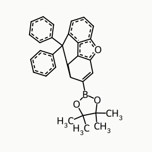 CC1(C)OB(C2=Cc3oc4cccc5c4c3CC2C5(c2ccccc2)c2ccccc2)OC1(C)C